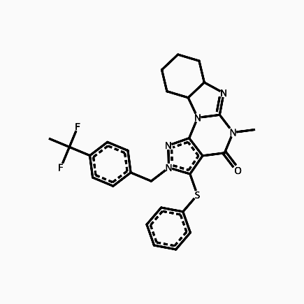 CN1C(=O)c2c(nn(Cc3ccc(C(C)(F)F)cc3)c2Sc2ccccc2)N2C1=NC1CCCCC12